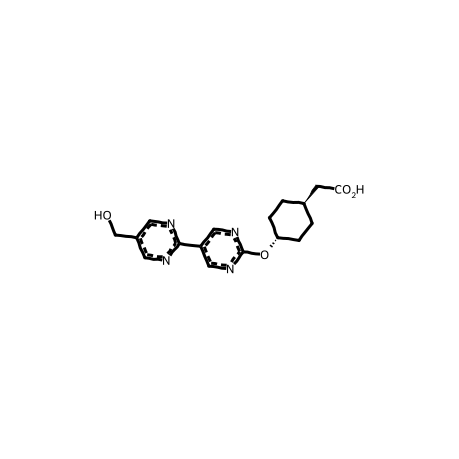 O=C(O)C[C@H]1CC[C@H](Oc2ncc(-c3ncc(CO)cn3)cn2)CC1